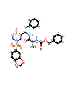 CC(C)CN(C[C@@H](O)[C@H](Cc1ccccc1)NC(=O)[C@@H](NC(=O)OCc1ccccc1)C(C)C)S(=O)(=O)c1ccc2c(c1)OCO2